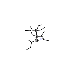 C/C=C(\C)[Si](CCC)(NC(C)CC)[Si](CC)(CC)CC